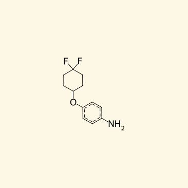 Nc1ccc(OC2CCC(F)(F)CC2)cc1